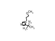 COCCCn1cncc1C(C)(C)C